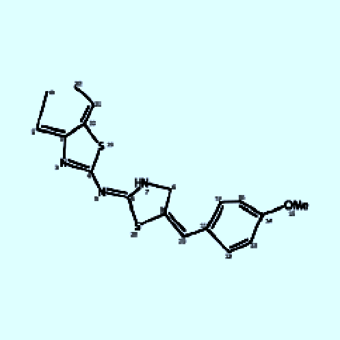 C/C=c1/nc(/N=C2\NC/C(=C\c3ccc(OC)cc3)S2)s/c1=C/C